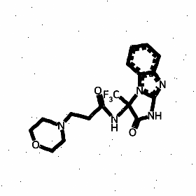 O=C(CCN1CCOCC1)NC1(C(F)(F)F)C(=O)Nc2nc3ccccc3n21